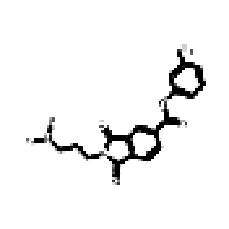 CCN(CC)CCCN1C(=O)c2ccc(C(=O)Oc3cccc(C)c3)cc2C1=O